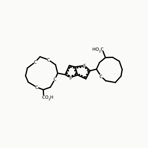 O=C(O)C1CCCCCCCCC(c2cc3sc(C4CCCCCCCC(C(=O)O)C4)cc3s2)CC1